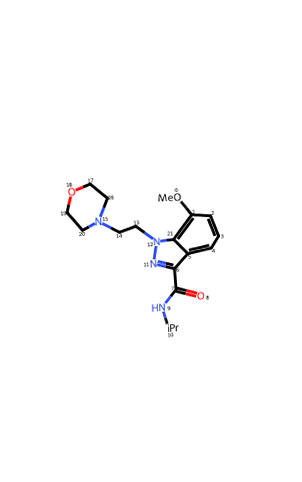 COc1cccc2c(C(=O)NC(C)C)nn(CCN3CCOCC3)c12